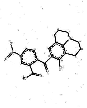 O=C(O)c1cc([N+](=O)[O-])ccc1C(=O)c1cc2c3c(c1O)CCCN3CCC2